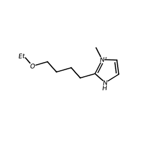 CCOCCCCc1[nH]cc[n+]1C